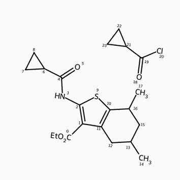 CCOC(=O)c1c(NC(=O)C2CC2)sc2c1CC(C)CC2C.O=C(Cl)C1CC1